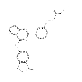 CC(C)NC(=O)COc1cccc(-c2nc(Nc3ccc4c(c3)CNC4=O)c3sccc3n2)c1